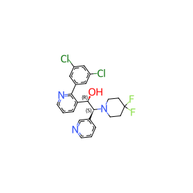 O[C@H](c1cccnc1-c1cc(Cl)cc(Cl)c1)[C@H](c1cccnc1)N1CCC(F)(F)CC1